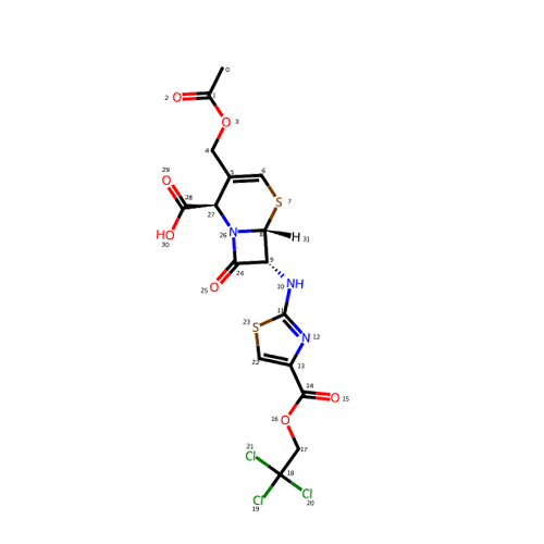 CC(=O)OCC1=CS[C@@H]2[C@H](Nc3nc(C(=O)OCC(Cl)(Cl)Cl)cs3)C(=O)N2[C@H]1C(=O)O